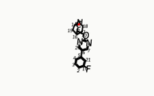 Fc1cccc(-c2cnc(OC3CN4CCC3CC4)nc2)c1